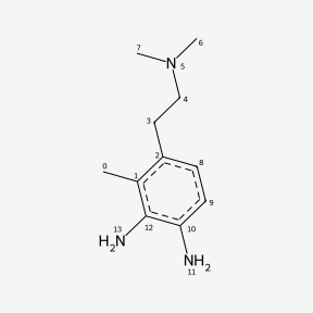 Cc1c(CCN(C)C)ccc(N)c1N